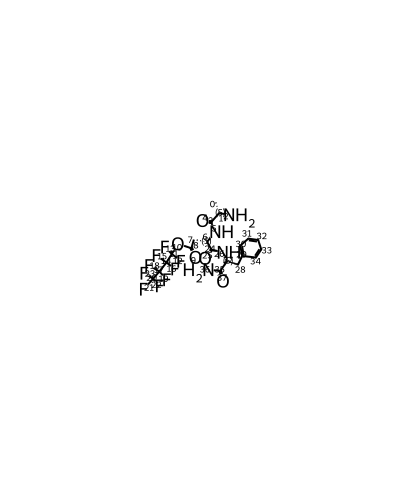 C[C@H](N)C(=O)N[C@@H](CC(=O)OC(F)(F)C(F)(F)C(F)(F)C(F)(F)F)C(=O)N[C@@H](Cc1ccccc1)C(N)=O